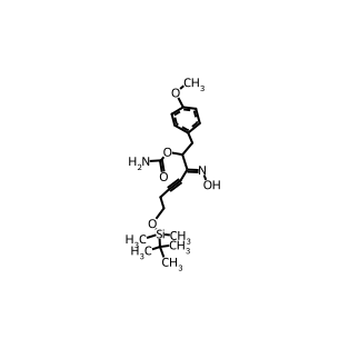 COc1ccc(CC(OC(N)=O)C(C#CCCO[Si](C)(C)C(C)(C)C)=NO)cc1